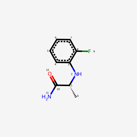 C[C@@H](Nc1ccccc1F)C(N)=O